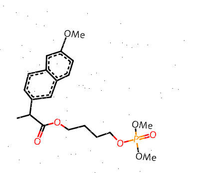 COc1ccc2cc(C(C)C(=O)OCCCCOP(=O)(OC)OC)ccc2c1